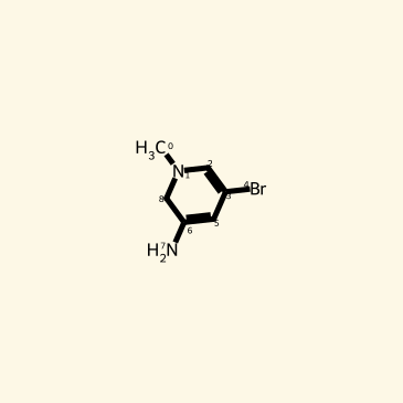 CN1C=C(Br)C=C(N)C1